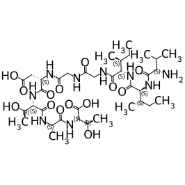 CC[C@H](C)[C@H](NC(=O)[C@@H](N)C(C)C)C(=O)N[C@H](C(=O)NCC(=O)NCC(=O)N[C@@H](CC(=O)O)C(=O)N[C@H](C(=O)N[C@@H](C)C(=O)N[C@H](C(=O)O)[C@@H](C)O)[C@@H](C)O)[C@@H](C)CC